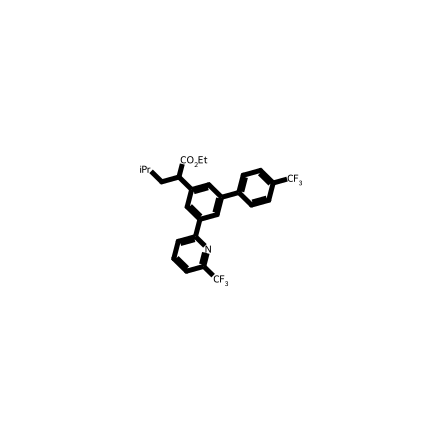 CCOC(=O)C(CC(C)C)c1cc(-c2ccc(C(F)(F)F)cc2)cc(-c2cccc(C(F)(F)F)n2)c1